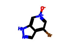 [O-][n+]1cc(Br)c2cn[nH]c2c1